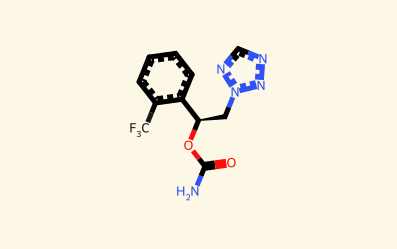 NC(=O)O[C@H](Cn1ncnn1)c1ccccc1C(F)(F)F